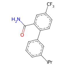 CC(C)c1cccc(-c2ccc(C(F)(F)F)cc2C(N)=O)c1